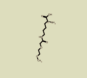 COCCOCC(=O)NCCCC[C@H](N)C(=O)O